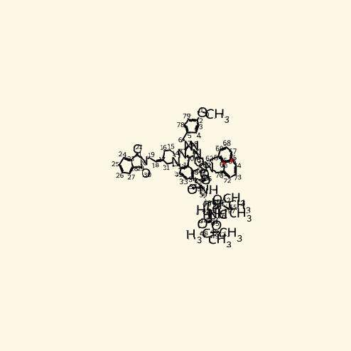 COc1ccc(Cn2nnc(-c3c(N4CCCC(=CCN5C(=O)c6ccccc6C5=O)C4)ccc(S(=O)(=O)NC[C@@H](CNC(=O)OC(C)(C)C)O[Si](C)(C)C(C)(C)C)c3S(=O)(=O)N(Cc3ccccc3)Cc3ccccc3)n2)cc1